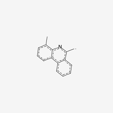 [CH2]c1nc2c(C)cccc2c2ccccc12